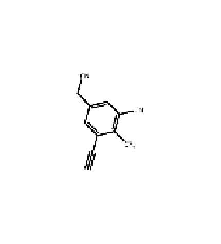 C#Cc1cc(CC#N)cc(C#N)c1C(F)(F)F